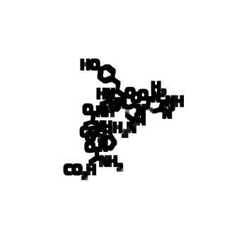 NC(=O)C[C@H](NC(=O)[C@H](Cc1ccc(O)cc1)NC(=O)CNC(=O)[C@H](CC(=O)O)NC(=O)[C@@H]1CCCN1C(=O)[C@@H](N)CC(=O)O)C(=O)N[C@@H](Cc1c[nH]cn1)C(N)=O